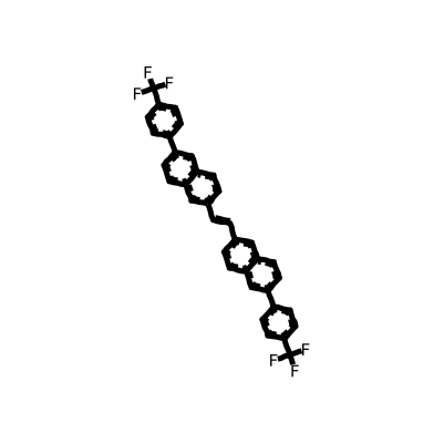 FC(F)(F)c1ccc(-c2ccc3cc(/C=C/c4ccc5cc(-c6ccc(C(F)(F)F)cc6)ccc5c4)ccc3c2)cc1